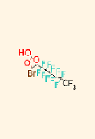 OC1OC(Br)C(C(F)(F)C(F)(F)C(F)(F)C(F)(F)C(F)(F)C(F)(F)F)O1